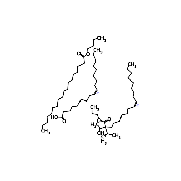 CCCCCCCC/C=C\CCCCCCC(C(=O)OCCC)(C(C)C)C(C)C.CCCCCCCC/C=C\CCCCCCCC(=O)O.CCCCCCCCCCCCCCCCCC(=O)OCCCC